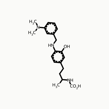 CC(CCc1ccc(NCc2cccc(N(C)C)c2)c(O)c1)NC(=O)O